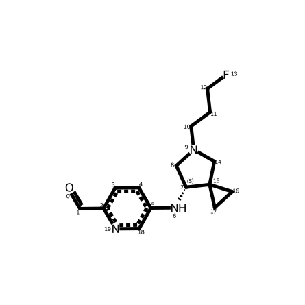 O=Cc1ccc(N[C@@H]2CN(CCCF)CC23CC3)cn1